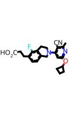 Cc1nc(OC2CCC2)cc(N2CCc3c(ccc(CCC(=O)O)c3F)C2)c1C#N